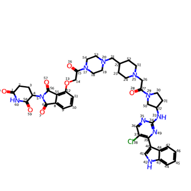 O=C1CCC(N2C(=O)c3cccc(OCC(=O)N4CCN(CC5CCN(CC(=O)N6CCC(Nc7ncc(Cl)c(-c8c[nH]c9ccccc89)n7)C6)CC5)CC4)c3C2=O)C(=O)N1